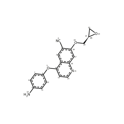 N#Cc1cc2c(Oc3ccc(N)cc3)ccnc2cc1OC[C@H]1CO1